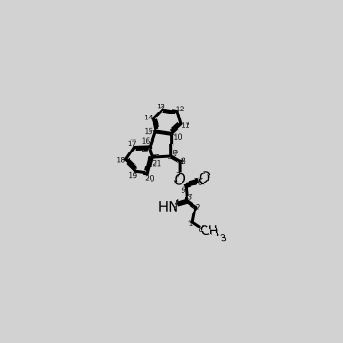 CCCC(=N)C(=O)OCC1c2ccccc2-c2ccccc21